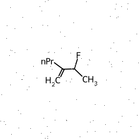 C=C(CCC)C(C)F